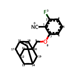 N#Cc1c(F)cccc1OCC12CC3CC(CC(C3)C1)C2